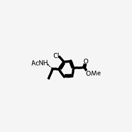 COC(=O)c1ccc([C@H](C)NC(C)=O)c(Cl)c1